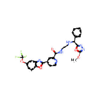 COc1nnc(C(NCCNC(=O)c2cc(-c3nc4cc(OC(F)(F)F)ccc4o3)ccn2)c2ccccc2)o1